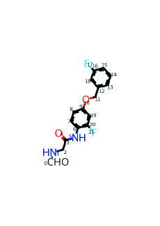 O=CNCC(=O)Nc1ccc(OCc2cccc(F)c2)cc1F